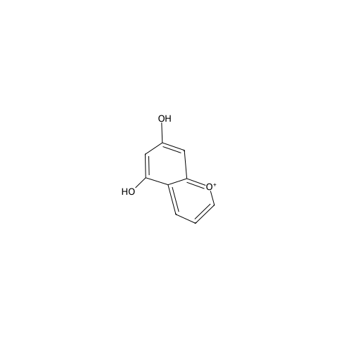 Oc1cc(O)c2ccc[o+]c2c1